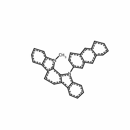 Cn1c2ccccc2c2ccc3c4ccccc4n(-c4ccc5cc6ccccc6cc5c4)c3c21